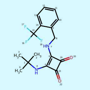 CC(C)(C)Nc1c(NCc2ccccc2C(F)(F)F)c(=O)c1=O